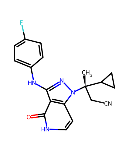 C[C@](CC#N)(C1CC1)n1nc(Nc2ccc(F)cc2)c2c(=O)[nH]ccc21